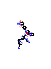 N#CCNc1cc(-c2ccc3cc(C#N)cnn23)ncc1-c1nnc(N2CC3CCC(C2)N3CC2CCN(c3ccc([C@H]4CCC(=O)NC4=O)cc3)CC2)s1